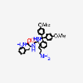 COc1ccc(C(N[C@@H](CCCCN)C(=O)N[C@@H](Cc2ccccc2)C(N)=O)(c2ccccc2)c2ccc(OC)cc2)cc1